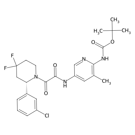 Cc1cc(NC(=O)C(=O)N2CCC(F)(F)C[C@H]2c2cccc(Cl)c2)cnc1NC(=O)OC(C)(C)C